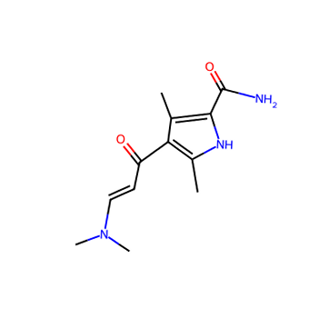 Cc1[nH]c(C(N)=O)c(C)c1C(=O)C=CN(C)C